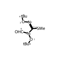 CSC(=NOC(C)(C)C)N(C=O)OC(C)(C)C